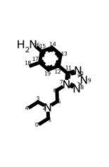 CCN(CC)CCn1nnnc1-c1ccc(N)c(C)c1